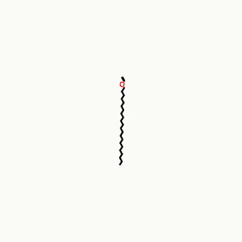 C=COCCCCCCCCCCCCCCCCCCCCCC